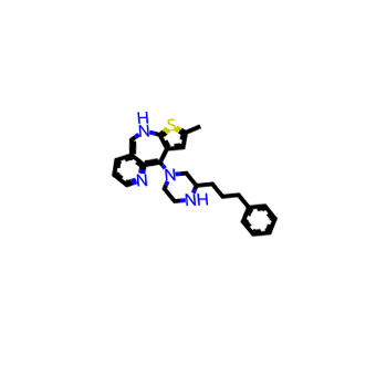 Cc1cc2c(s1)NC=c1cccnc1=C2N1CCNC(CCCc2ccccc2)C1